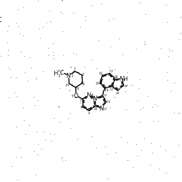 CN1CCCC(Oc2ccc3ncc(-c4cccc5[nH]ccc45)n3n2)C1